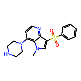 Cn1cc(S(=O)(=O)c2ccccc2)c2nccc(N3CCNCC3)c21